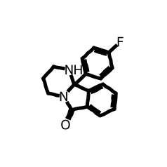 O=C1c2ccccc2C2(c3ccc(F)cc3)NCCCN12